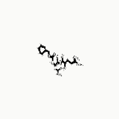 CC(C)CCC(=O)C(Br)NC(=O)[C@H](CC(C)C)NC(=O)OCc1ccccc1